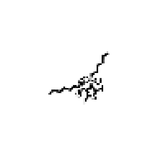 CCCCCCS(=O)(=O)c1c(I)sc(I)c1S(=O)(=O)CCCCCC